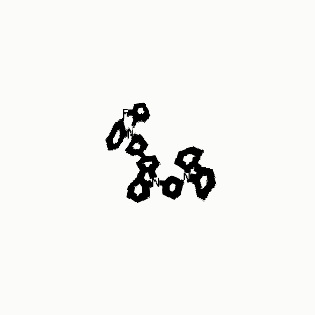 Fc1ccccc1N(c1ccccc1)c1ccc(-c2ccc3c(c2)c2ccccc2n3-c2cccc(-n3c4ccccc4c4ccccc43)c2)cc1